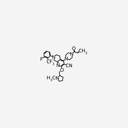 C=CC(=O)N1CCN(c2c(C#N)c(OCC3CCCN3C)nc3c2CCN(c2cccc(F)c2C(F)(F)F)C3)CC1